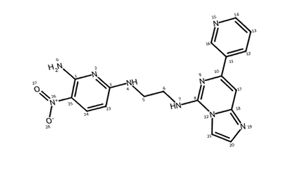 Nc1nc(NCCNc2nc(-c3cccnc3)cc3nccn23)ccc1[N+](=O)[O-]